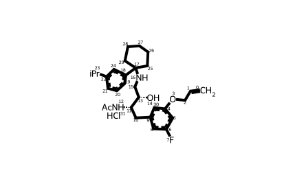 C=CCOc1cc(F)cc(C[C@H](NC(C)=O)[C@@H](O)CNC2(c3cccc(C(C)C)c3)CCCCC2)c1.Cl